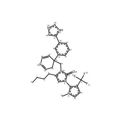 CCCCc1cn(-c2c(C(F)(F)F)ccn2C)c(=O)n1CC1(c2cccc(-c3nnn[nH]3)c2)C=CN=CC1